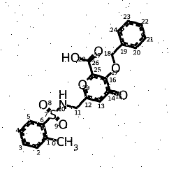 Cc1ccccc1S(=O)(=O)NCc1cc(=O)c(OCc2ccccc2)c(C(=O)O)o1